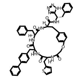 O=C1COc2ccc(cc2)C[C@@H](C(=O)N[C@@H](Cc2ccccc2)c2nnn[nH]2)NC(=O)[C@H](Cc2ccccc2)NC(=O)[C@@H](Cc2ccc(-c3ccccc3)cc2)NC(=O)[C@H](Cc2cccs2)N1